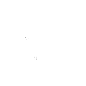 COC1CCCN1C1=CCCc2ccccc21